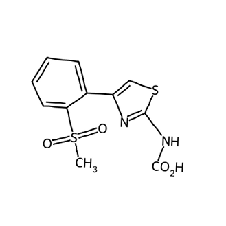 CS(=O)(=O)c1ccccc1-c1csc(NC(=O)O)n1